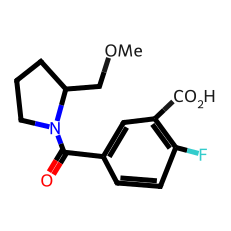 COCC1CCCN1C(=O)c1ccc(F)c(C(=O)O)c1